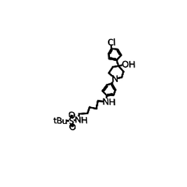 CC(C)(C)S(=O)(=O)NCCCCCNc1ccc(N2CCC(O)(c3ccc(Cl)cc3)CC2)cc1